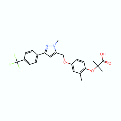 Cc1cc(OCc2cc(-c3ccc(C(F)(F)F)cc3)nn2C)ccc1OC(C)(C)C(=O)O